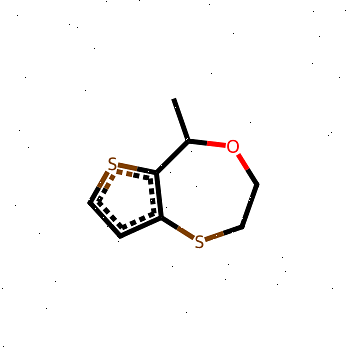 CC1OCCSc2ccsc21